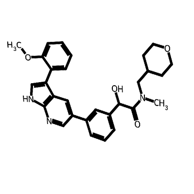 COc1ccccc1-c1c[nH]c2ncc(-c3cccc(C(O)C(=O)N(C)CC4CCOCC4)c3)cc12